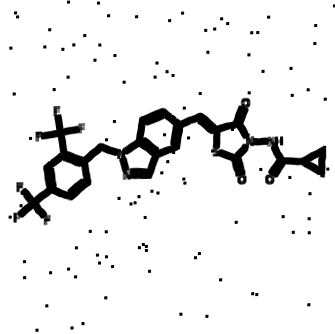 O=C(NN1C(=O)SC(=Cc2ccc3c(cnn3Cc3ccc(C(F)(F)F)cc3C(F)(F)F)c2)C1=O)C1CC1